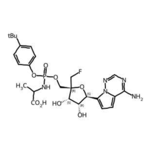 CC(NP(=O)(OC[C@@]1(CF)O[C@@H](c2ccc3c(N)ncnn23)[C@H](O)[C@@H]1O)Oc1ccc(C(C)(C)C)cc1)C(=O)O